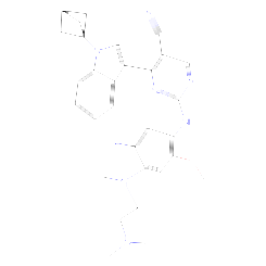 COc1cc(N(C)CCN(C)C)c(N)cc1Nc1ncc(C#N)c(-c2cn(C34CC(C3)C4)c3ccccc23)n1